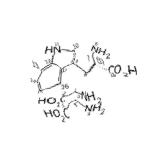 NCC(=O)O.NCC(=O)O.N[C@@H](Cc1c[nH]c2ccccc12)C(=O)O